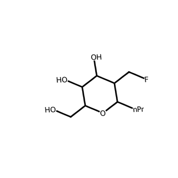 CCCC1OC(CO)C(O)C(O)C1CF